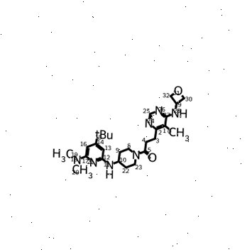 Cc1c(CCC(=O)N2CCC(Nc3cc(C(C)(C)C)cc(N(C)C)n3)CC2)ncnc1NC1COC1